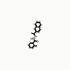 CC(=NNC(=O)c1ccccc1F)c1ccc2ccccc2c1